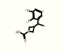 O=C(O)N1CC(C(F)c2cccc(F)c2F)C1